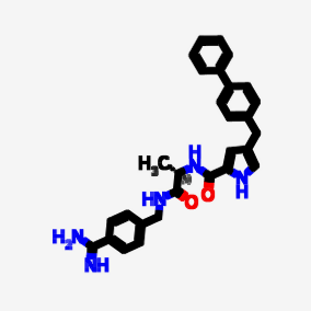 C[C@H](NC(=O)c1cc(Cc2ccc(-c3ccccc3)cc2)c[nH]1)C(=O)NCc1ccc(C(=N)N)cc1